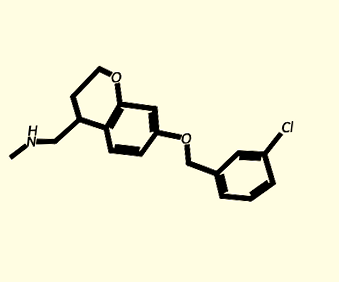 CNCC1CCOc2cc(OCc3cccc(Cl)c3)ccc21